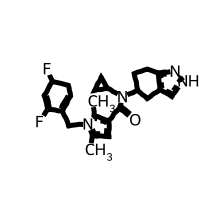 Cc1cc(C(=O)N(C2CC2)C2CCc3n[nH]cc3C2)c(C)n1CC1=CCC(F)C=C1F